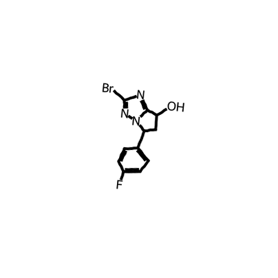 OC1CC(c2ccc(F)cc2)n2nc(Br)nc21